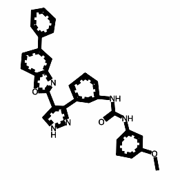 COc1cccc(NC(=O)Nc2cccc(-c3n[nH]cc3-c3nc4cc(-c5ccccc5)ccc4o3)c2)c1